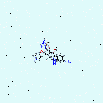 C=S(=O)(Nc1cc2c(cc1OC1CCN(C)CC1)C(C)(C)c1[nH]c3cc(N)ccc3c1C2=O)N(C)C